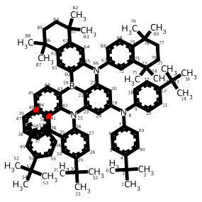 CC(C)(C)c1ccc(N(c2ccc(C(C)(C)C)cc2)c2cc3c4c(c2)N(c2ccc(C(C)(C)C)cc2-c2ccccc2)c2c(ccc5oc6cc(C(C)(C)C)ccc6c25)B4c2cc4c(cc2N3c2ccc3c(c2)C(C)(C)CCC3(C)C)C(C)(C)CCC4(C)C)cc1